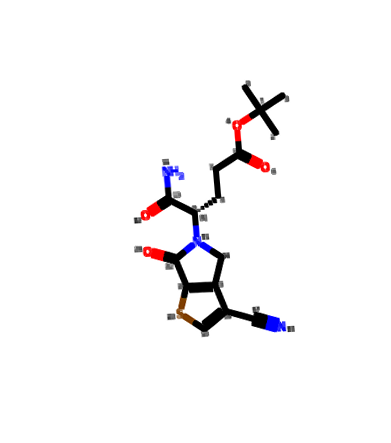 CC(C)(C)OC(=O)CC[C@@H](C(N)=O)N1Cc2c(C#N)csc2C1=O